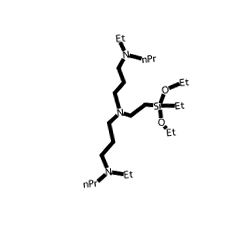 CCCN(CC)CCCN(CCCN(CC)CCC)CC[Si](CC)(OCC)OCC